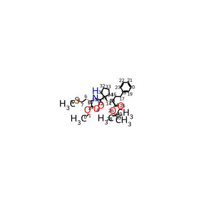 CCOC(=O)[C@H](CCSC)NC(=O)C1(C[C@H](CCc2ccccc2)C(=O)OC(C)(C)C)CCCC1